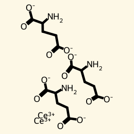 NC(CCC(=O)[O-])C(=O)[O-].NC(CCC(=O)[O-])C(=O)[O-].NC(CCC(=O)[O-])C(=O)[O-].[Ce+3].[Ce+3]